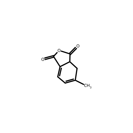 CC1=CC=C2C(=O)OC(=O)C2C1